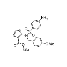 COc1ccc(CN(c2scnc2C(=O)OC(C)(C)C)S(=O)(=O)c2ccc(N)cc2)cc1